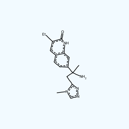 CCc1cc2ccc(C(C)(N)Cc3nncn3C)cc2[nH]c1=O